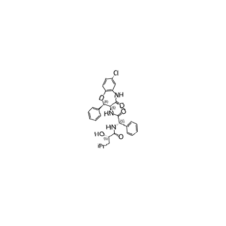 CC(C)C[C@H](O)C(=O)N[C@H](C(=O)N[C@@H]1C(=O)Nc2cc(Cl)ccc2O[C@@H]1c1ccccc1)c1ccccc1